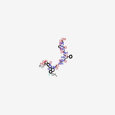 CC[C@@]1(O)C(=O)OCc2c1cc1n(c2=O)Cc2c-1nc1cc(F)c(C)c3c1c2[C@@H](NC(=O)COCNC(=O)CNC(=O)[C@H](CCc1ccccc1)NC(=O)CNC(=O)CNC(=O)[C@@H](CNCC(=O)O)N1C(=O)C=CC1=O)CC3